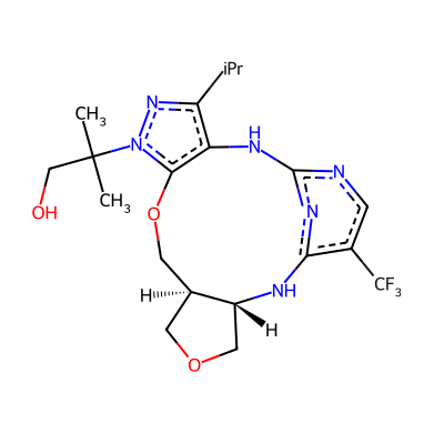 CC(C)c1nn(C(C)(C)CO)c2c1Nc1ncc(C(F)(F)F)c(n1)N[C@@H]1COC[C@H]1CO2